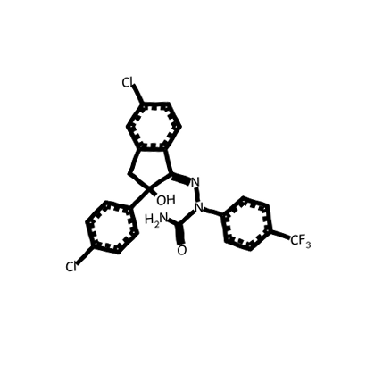 NC(=O)N(/N=C1/c2ccc(Cl)cc2CC1(O)c1ccc(Cl)cc1)c1ccc(C(F)(F)F)cc1